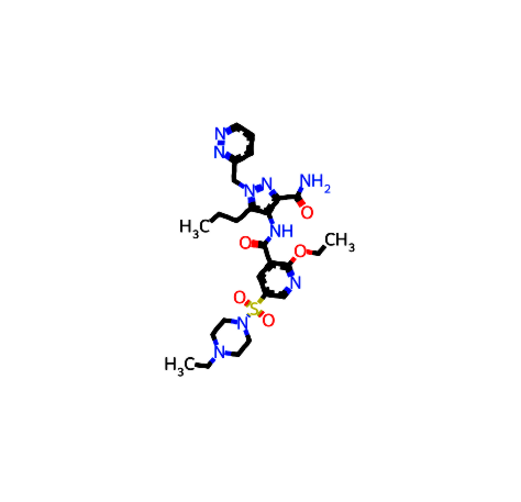 CCCc1c(NC(=O)c2cc(S(=O)(=O)N3CCN(CC)CC3)cnc2OCC)c(C(N)=O)nn1Cc1cccnn1